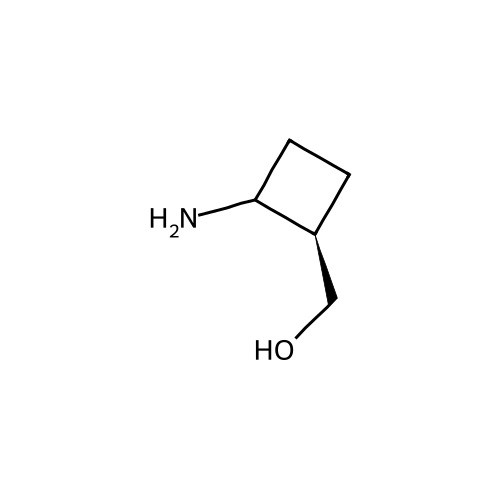 NC1CC[C@H]1CO